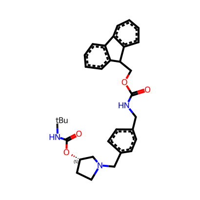 CC(C)(C)NC(=O)O[C@H]1CCN(Cc2ccc(CNC(=O)OCC3c4ccccc4-c4ccccc43)cc2)C1